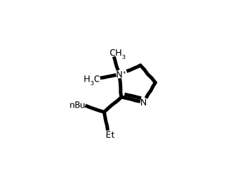 CCCCC(CC)C1=NCC[N+]1(C)C